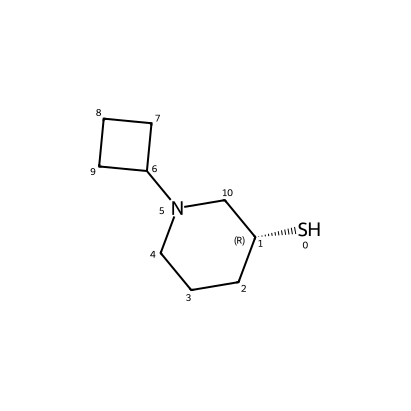 S[C@@H]1CCCN(C2CCC2)C1